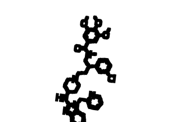 COc1cc(C(=O)N(C)CC(CCN2CCC(Nc3nc4ccccc4n3Cc3ccccn3)CC2)c2cccc(Cl)c2)cc(OC)c1OC